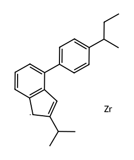 CCC(C)c1ccc(-c2cccc3c2C=C(C(C)C)[CH]3)cc1.[Zr]